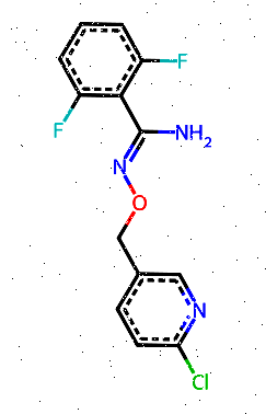 NC(=NOCc1ccc(Cl)nc1)c1c(F)cccc1F